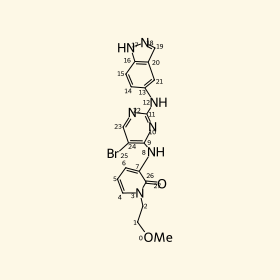 COCCn1cccc(Nc2nc(Nc3ccc4[nH]ncc4c3)ncc2Br)c1=O